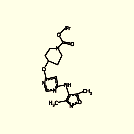 Cc1noc(C)c1Nc1cc(OC2CCN(C(=O)OC(C)C)CC2)ncn1